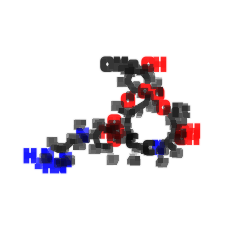 CC[C@H]1OC(=O)[C@H](C)C(O[C@H]2C[C@@](C)(OC)[C@@H](O)[C@H](C)O2)[C@H](C)[C@@H](O[C@H]2C[C@@H](N(C)CC/C(=C/N)N=N)C[C@@H](C)O2)[C@](C)(O)C[C@@H](C)CN(C)[C@H](C)[C@@H](O)[C@]1(C)O